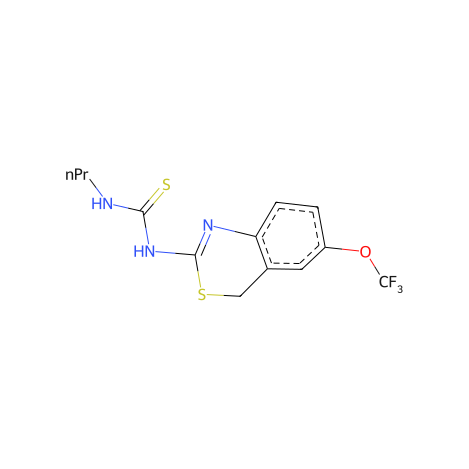 CCCNC(=S)NC1=Nc2ccc(OC(F)(F)F)cc2CS1